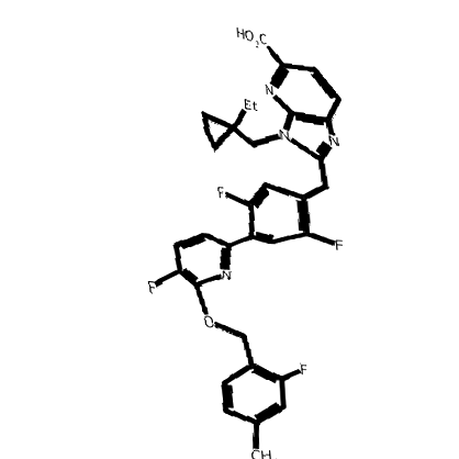 CCC1(Cn2c(Cc3cc(F)c(-c4ccc(F)c(OCc5ccc(C)cc5F)n4)cc3F)nc3ccc(C(=O)O)nc32)CC1